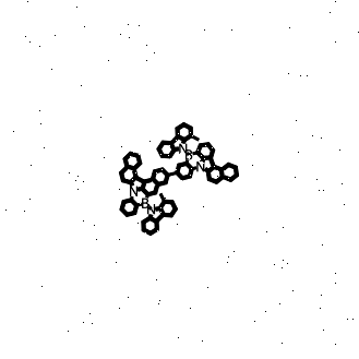 Cc1cccc2c3ccccc3n(B3c4cc(-c5ccc6c(c5)cc5c7c6c6c8ccccc8ccc6n7-c6ccccc6B5n5c6ccccc6c6cccc(C)c65)ccc4-n4c5ccc6ccccc6c5c5cccc3c54)c12